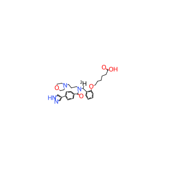 [2H]C(c1ccccc1OCCCCCC(=O)O)N(CCCN1CCOCC1)C(=O)c1ccc(-c2cn[nH]c2)cc1